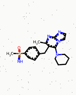 Cc1nc2nccn2c(N2CCCCC2)c1Cc1ccc(S(C)(=N)=O)cc1